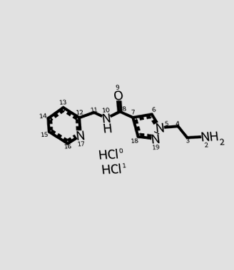 Cl.Cl.NCCn1cc(C(=O)NCc2ccccn2)cn1